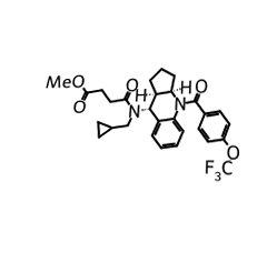 COC(=O)CCC(=O)N(CC1CC1)[C@H]1c2ccccc2N(C(=O)c2ccc(OC(F)(F)F)cc2)[C@@H]2CCC[C@@H]21